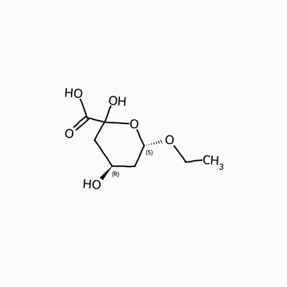 CCO[C@@H]1C[C@@H](O)CC(O)(C(=O)O)O1